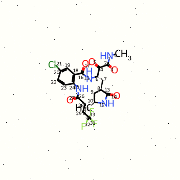 CNC(=O)C(=O)[C@H](C[C@@H]1C[C@@H](C)NC1=O)NC(=O)c1cc(Cl)ccc1NC(=O)CCC(F)(F)F